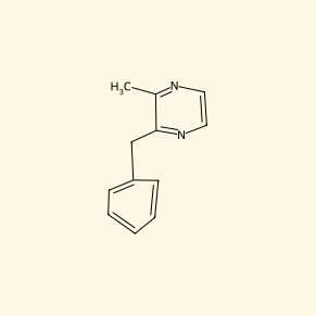 Cc1nccnc1Cc1ccccc1